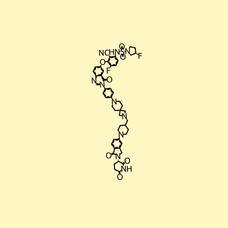 N#Cc1c(NS(=O)(=O)N2CC[C@@H](F)C2)ccc(F)c1Oc1ccc2ncn(-c3ccc(N4CCC5(CC4)CN(CC4CCN(c6ccc7c(c6)CN([C@H]6CCC(=O)NC6=O)C7=O)CC4)C5)cc3)c(=O)c2c1